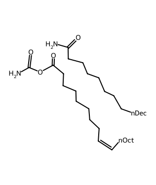 CCCCCCCC/C=C\CCCCCCCC(=O)OC(N)=O.CCCCCCCCCCCCCCCCCC(N)=O